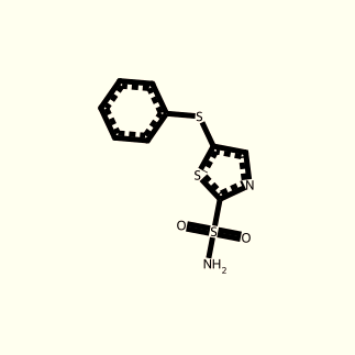 NS(=O)(=O)c1ncc(Sc2ccccc2)s1